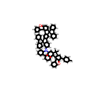 Cc1ccc(-c2cc3c(c4c2oc2ccccc24)-c2ccc(N(c4ccc5c(c4)C4(c6ccccc6-c6ccccc64)c4cc6c(cc4-5)C4(c5ccccc5-c5ccccc54)c4ccc5oc7ccccc7c5c4-6)c4ccccc4-c4ccccc4)cc2C3(C)C)cc1